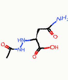 CC(=O)NN[C@@H](CC(N)=O)C(=O)O